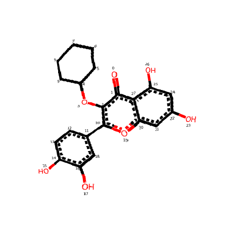 O=c1c(OC2CCCCC2)c(-c2ccc(O)c(O)c2)oc2cc(O)cc(O)c12